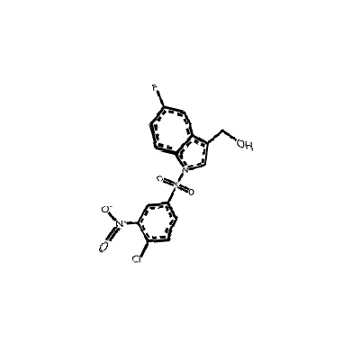 O=[N+]([O-])c1cc(S(=O)(=O)n2cc(CO)c3cc(F)ccc32)ccc1Cl